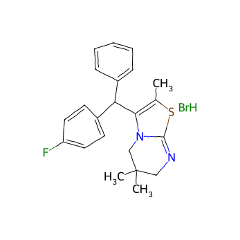 Br.CC1=C(C(c2ccccc2)c2ccc(F)cc2)N2CC(C)(C)CN=C2S1